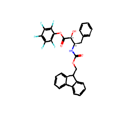 O=C(N[C@H](Cc1ccccc1)[C@H](O)C(=O)Oc1c(F)c(F)c(F)c(F)c1F)OCC1c2ccccc2-c2ccccc21